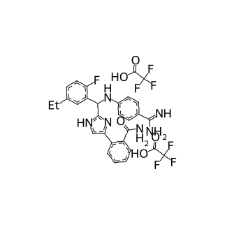 CCc1ccc(F)c(C(Nc2ccc(C(=N)N)cc2)c2nc(-c3ccccc3C(N)=O)c[nH]2)c1.O=C(O)C(F)(F)F.O=C(O)C(F)(F)F